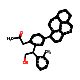 CC(=O)Cc1ccc(-c2ccc3ccc4cccc5ccc2c3c45)cc1C(CO)c1ccccc1C